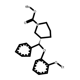 CCOc1ccccc1OC(c1ccccc1)[C@H]1CCCN(C(=O)OC(C)(C)C)C1